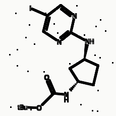 CC(C)(C)OC(=O)N[C@H]1CC[C@H](Nc2ncc(I)cn2)C1